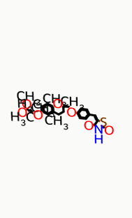 CCOC(=O)C(C)(C)Oc1c(C)c(C)c2c(c1C)CCC(C)(COc1ccc(C=C3SC(=O)NC3=O)cc1)O2